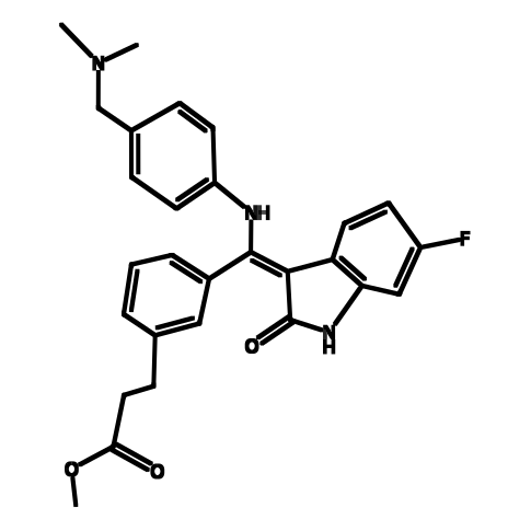 COC(=O)CCc1cccc(C(Nc2ccc(CN(C)C)cc2)=C2C(=O)Nc3cc(F)ccc32)c1